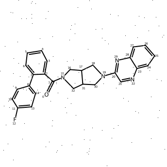 O=C(c1ccccc1-c1ccc(F)cc1)N1CC2CN(c3cnc4ccccc4n3)CC2C1